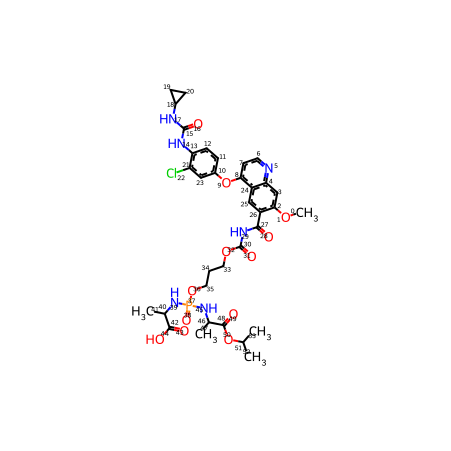 COc1cc2nccc(Oc3ccc(NC(=O)NC4CC4)c(Cl)c3)c2cc1C(=O)NC(=O)OCCCOP(=O)(NC(C)C(=O)O)NC(C)C(=O)OC(C)C